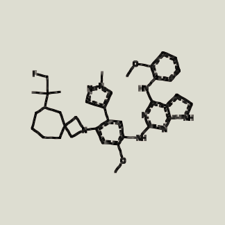 COc1cc(N2CC3(CCCCC(C(C)(C)CF)C3)C2)c(-c2cnn(C)c2)cc1Nc1nc(Nc2ccccc2OC)c2cc[nH]c2n1